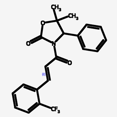 CC1(C)OC(=O)N(C(=O)/C=C/c2ccccc2C(F)(F)F)C1c1ccccc1